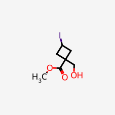 COC(=O)C1(CO)CC(I)C1